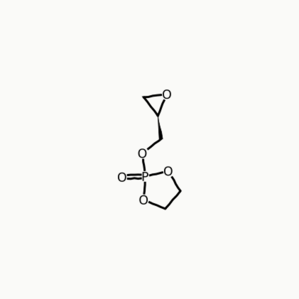 O=P1(OC[C@H]2CO2)OCCO1